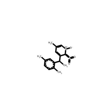 CC1=C[NH+]([O-])C(=S(=O)=O)C(C(C)c2cc(C)ccc2C)=C1